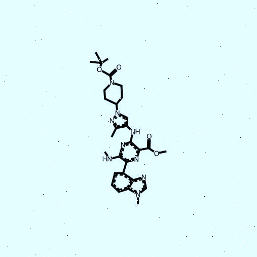 CNc1nc(Nc2cn(C3CCN(C(=O)OC(C)(C)C)CC3)nc2C)c(C(=O)OC)nc1-c1cccc2c1ncn2C